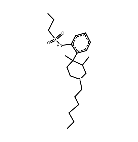 CCCCCCN1CCC(C)(c2ccccc2NS(=O)(=O)CCC)C(C)C1